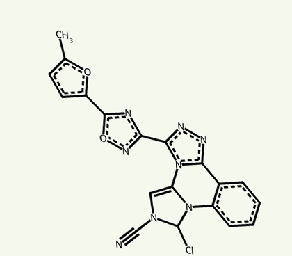 Cc1ccc(-c2nc(-c3nnc4n3C3=CN(C#N)C(Cl)N3c3ccccc3-4)no2)o1